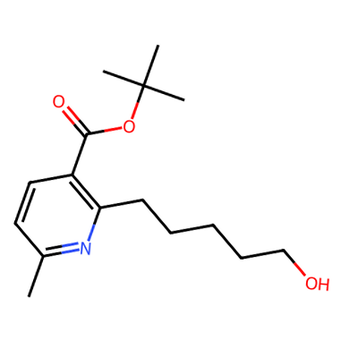 Cc1ccc(C(=O)OC(C)(C)C)c(CCCCCO)n1